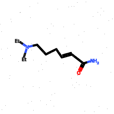 CCN(CC)CCCC=CC(N)=O